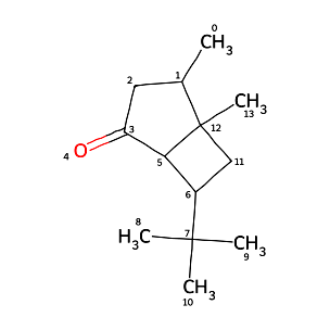 CC1CC(=O)C2C(C(C)(C)C)CC12C